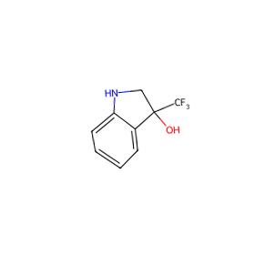 OC1(C(F)(F)F)CNc2ccccc21